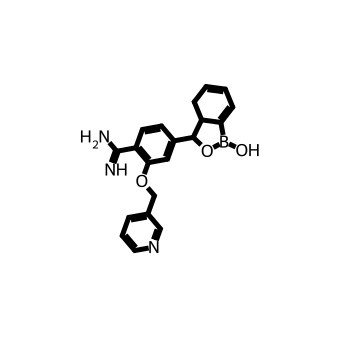 N=C(N)c1ccc(C2OB(O)C3=CC=CCC32)cc1OCc1cccnc1